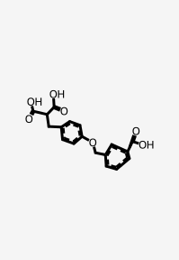 O=C(O)c1cccc(COc2ccc(CC(C(=O)O)C(=O)O)cc2)c1